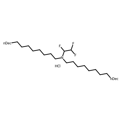 CCCCCCCCCCCCCCCCCCN(CCCCCCCCCCCCCCCCCC)C(F)C(F)F.Cl